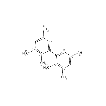 Cc1cc(C)c(C)c(-c2cc(C)cc(C)c2C)c1